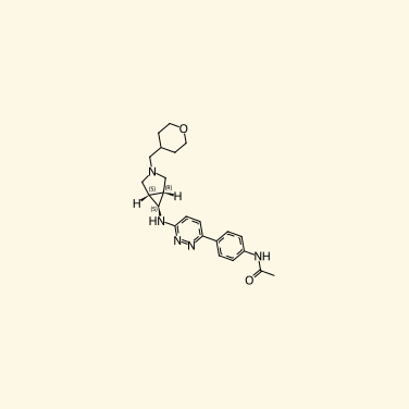 CC(=O)Nc1ccc(-c2ccc(N[C@H]3[C@@H]4CN(CC5CCOCC5)C[C@@H]43)nn2)cc1